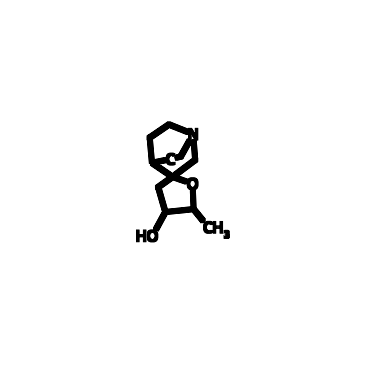 CC1OC2(CC1O)CN1CCC2CC1